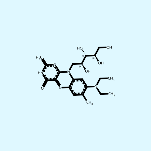 C=c1nc2c(c(=O)[nH]1)=Nc1cc(C)c(N(CC)CC)cc1N2C[C@H](O)[C@H](O)[C@H](O)CO